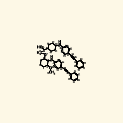 COC1CCCC(OC)C1Nc1ncc(C#Cc2ccccc2)cn1.OCC1CCC(Nc2ncc(C#Cc3ccccc3)cn2)CC1